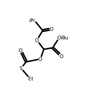 CCSC(=O)OC(OC(=O)C(C)C)C(=O)OCC(C)C